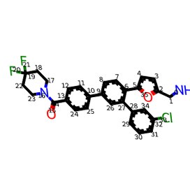 NCc1ccc(-c2ccc(-c3ccc(C(=O)N4CCC(F)(F)CC4)cc3)cc2-c2cccc(Cl)c2)o1